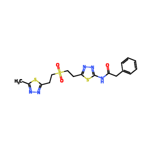 Cc1nnc(CCS(=O)(=O)CCc2nnc(NC(=O)Cc3ccccc3)s2)s1